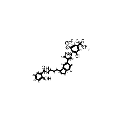 O=C(NCCCC1CCc2ccc(-c3cnn(-c4c(Cl)cc(C(F)(C(F)(F)F)C(F)(F)F)cc4OC(F)(F)F)c3)cc21)c1ccccc1O